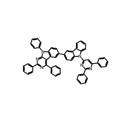 c1ccc(-c2cc(-n3c4ccccc4c4cc(-c5ccc6c(c5)c5c(-c7ccccc7)nc(-c7ccccc7)nc5n6-c5ccccc5)ccc43)nc(-c3ccccc3)n2)cc1